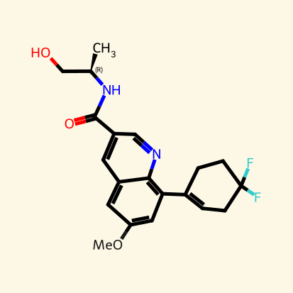 COc1cc(C2=CCC(F)(F)CC2)c2ncc(C(=O)N[C@H](C)CO)cc2c1